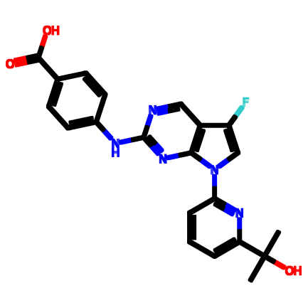 CC(C)(O)c1cccc(-n2cc(F)c3cnc(Nc4ccc(C(=O)O)cc4)nc32)n1